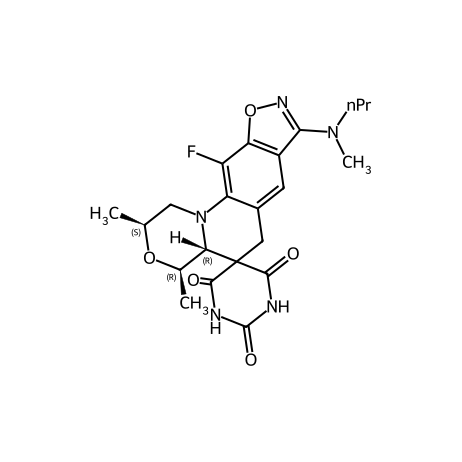 CCCN(C)c1noc2c(F)c3c(cc12)CC1(C(=O)NC(=O)NC1=O)[C@@H]1[C@@H](C)O[C@@H](C)CN31